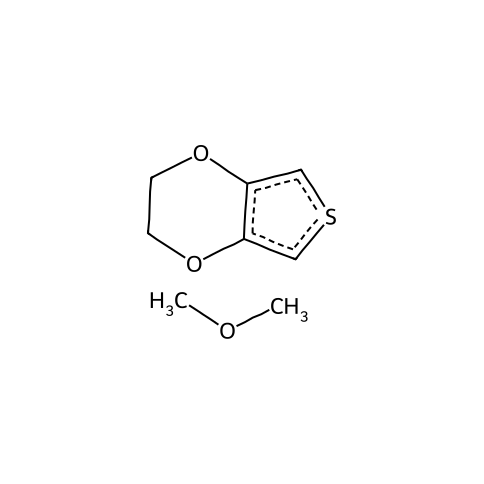 COC.c1scc2c1OCCO2